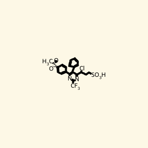 CS(=O)(=O)c1ccc(-c2nc(C(F)(F)F)nc(C(Cl)CCS(=O)(=O)O)c2-c2ccccc2)cc1